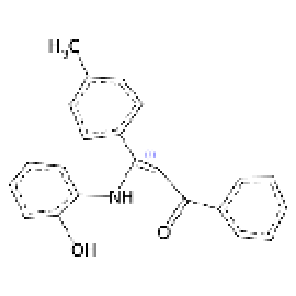 Cc1ccc(/C(=C/C(=O)c2ccccc2)Nc2ccccc2O)cc1